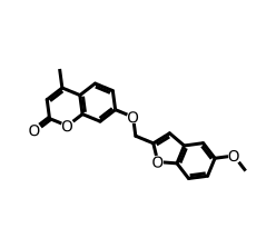 COc1ccc2oc(COc3ccc4c(C)cc(=O)oc4c3)cc2c1